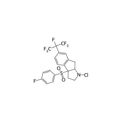 O=S(=O)(c1ccc(F)cc1)C12CCN(Cl)C1Cc1cc(C(F)(C(F)(F)F)C(F)(F)F)ccc12